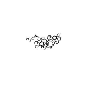 CC1CC1COC(=O)c1c(Cl)c(Cl)cc(Cl)c1OC(=O)C(=O)Oc1c(Cl)cc(Cl)c(Cl)c1C(=O)OCC1CC1C